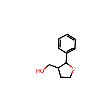 OCC1CCOC1c1ccccc1